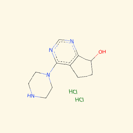 Cl.Cl.OC1CCc2c1ncnc2N1CCNCC1